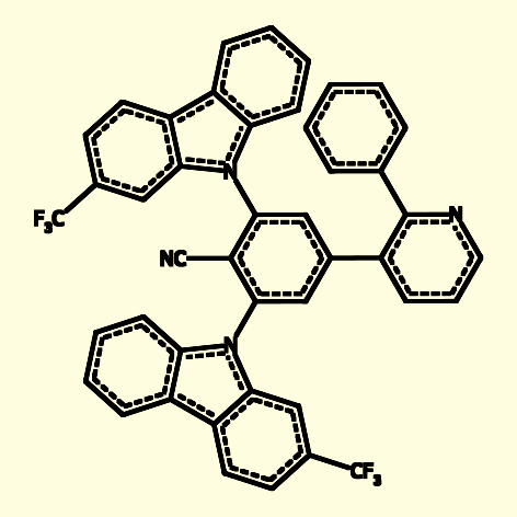 N#Cc1c(-n2c3ccccc3c3ccc(C(F)(F)F)cc32)cc(-c2cccnc2-c2ccccc2)cc1-n1c2ccccc2c2ccc(C(F)(F)F)cc21